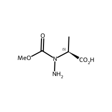 COC(=O)N(N)[C@@H](C)C(=O)O